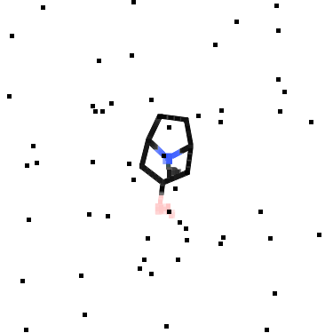 BC1CC2CCC(C1)N2C(C)C